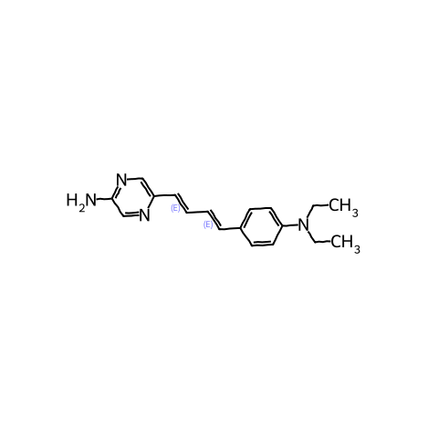 CCN(CC)c1ccc(/C=C/C=C/c2cnc(N)cn2)cc1